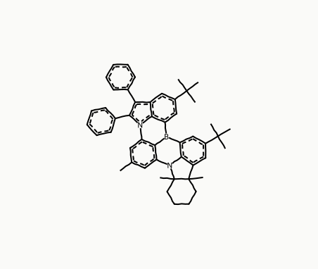 Cc1cc2c3c(c1)-n1c(-c4ccccc4)c(-c4ccccc4)c4cc(C(C)(C)C)cc(c41)B3c1cc(C(C)(C)C)cc3c1N2C1(C)CCCCC31C